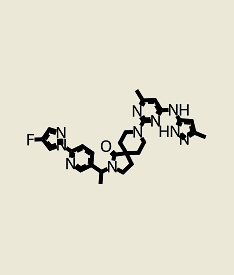 Cc1cc(Nc2cc(C)nc(N3CCC4(CC3)CCN(C(C)c3ccc(-n5cc(F)cn5)nc3)C4=O)n2)[nH]n1